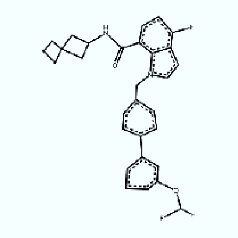 O=C(NC1CC2(CCC2)C1)c1ccc(F)c2ccn(Cc3ccc(-c4cccc(OC(F)F)c4)cc3)c12